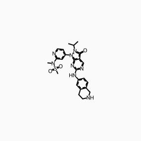 CC(C)n1c(=O)c2cnc(Nc3ccc4c(c3)CCNC4)nc2n1-c1ccnc(N(C)S(C)(=O)=O)c1